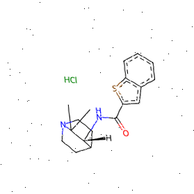 CC1(C)[C@H](NC(=O)c2cc3ccccc3s2)C2CCN1CC2.Cl